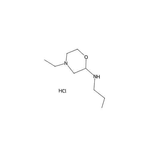 CCCNC1CN(CC)CCO1.Cl